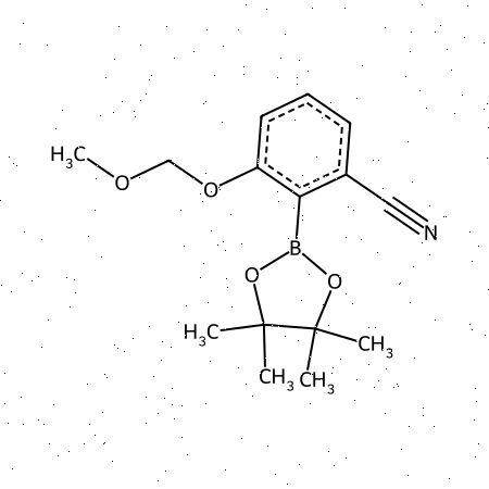 COCOc1cccc(C#N)c1B1OC(C)(C)C(C)(C)O1